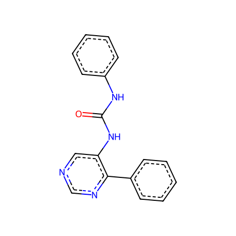 O=C(Nc1ccccc1)Nc1cncnc1-c1ccccc1